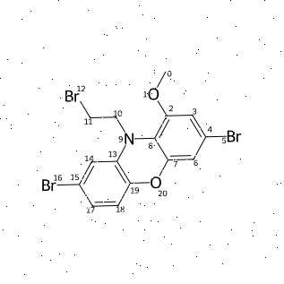 COc1cc(Br)cc2c1N(CCBr)c1cc(Br)ccc1O2